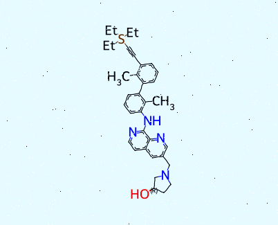 CCS(C#Cc1cccc(-c2cccc(Nc3nccc4cc(CN5CC[C@@H](O)C5)cnc34)c2C)c1C)(CC)CC